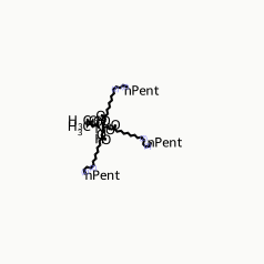 CCCCC/C=C\C/C=C\CCCCCCCC(=O)OCC(COC(=O)CCCCCCC/C=C\C/C=C\CCCCC)(COC(=O)CCCCCCC/C=C\C/C=C\CCCCC)NC(=O)C[N+](C)(C)C